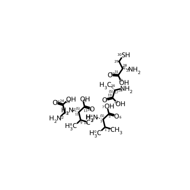 CC(C)[C@H](N)C(=O)O.CC(C)[C@H](N)C(=O)O.C[C@H](N)C(=O)O.NCC(=O)O.N[C@@H](CS)C(=O)O